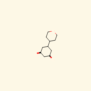 O=C1CC(=O)CC(C2CCOCC2)C1